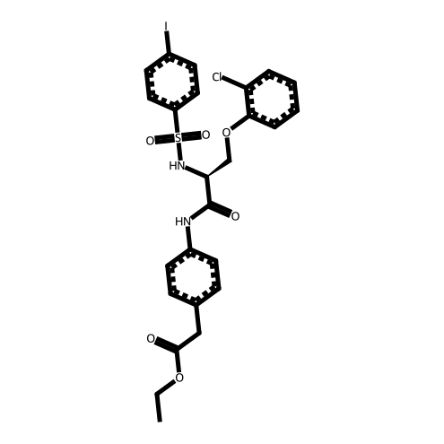 CCOC(=O)Cc1ccc(NC(=O)[C@H](COc2ccccc2Cl)NS(=O)(=O)c2ccc(I)cc2)cc1